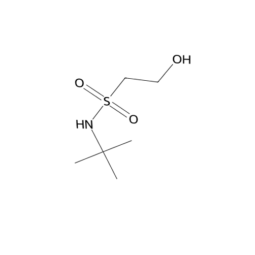 CC(C)(C)NS(=O)(=O)CCO